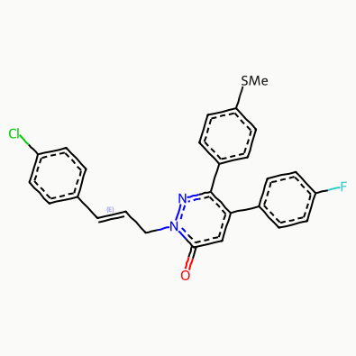 CSc1ccc(-c2nn(C/C=C/c3ccc(Cl)cc3)c(=O)cc2-c2ccc(F)cc2)cc1